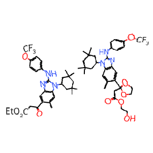 CCOC(=O)CC(=O)c1cc2nc(Nc3ccc(OC(F)(F)F)cc3)n(C3CC(C)(C)CC(C)(C)C3)c2cc1C.Cc1cc2c(cc1C1(CC(=O)OCCO)OCCO1)nc(Nc1ccc(OC(F)(F)F)cc1)n2C1CC(C)(C)CC(C)(C)C1